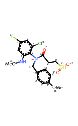 CONc1cc(F)cc(Cl)c1N(Cc1ccc(OC)cc1)C(=O)CC[SH](=O)=O